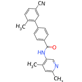 Cc1cc(C)c(NC(=O)c2ccc(-c3cc(C#N)ccc3C)cc2)cn1